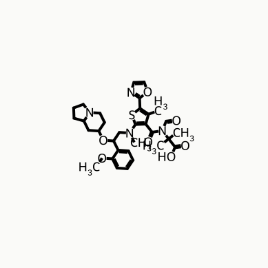 COc1ccccc1C(CN(C)c1sc(-c2ncco2)c(C)c1C(=O)N(C=O)C(C)(C)C(=O)O)OC1CCN2CCCC2C1